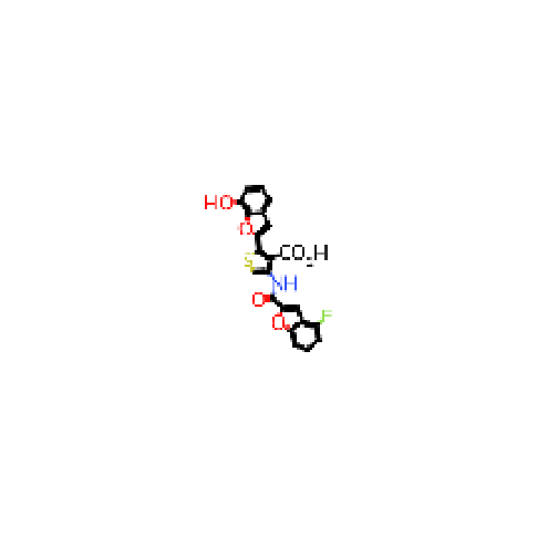 O=C(Nc1csc(-c2cc3cccc(O)c3o2)c1C(=O)O)c1cc2c(o1)=CCCC=2F